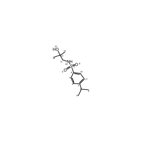 CC(C)c1ccc(S(=O)(=O)NCC(C)(C)O)cc1